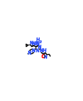 CCc1cc(CNc2nc(N)c(-c3cc(C4CC4)n[nH]3)c(N3CCN(C)CC3)n2)on1